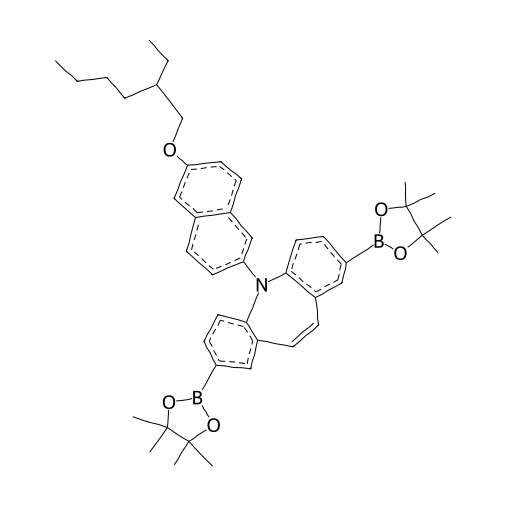 CCCCC(CC)COc1ccc2cc(N3c4ccc(B5OC(C)(C)C(C)(C)O5)cc4C=Cc4cc(B5OC(C)(C)C(C)(C)O5)ccc43)ccc2c1